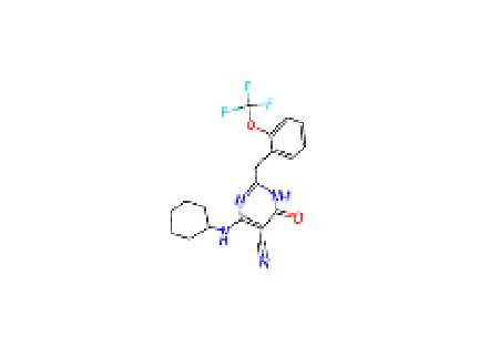 N#Cc1c(NC2CCCCC2)nc(Cc2ccccc2OC(F)(F)F)[nH]c1=O